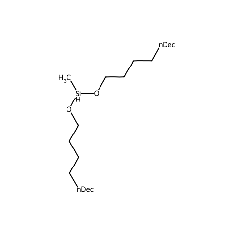 CCCCCCCCCCCCCCO[SiH](C)OCCCCCCCCCCCCCC